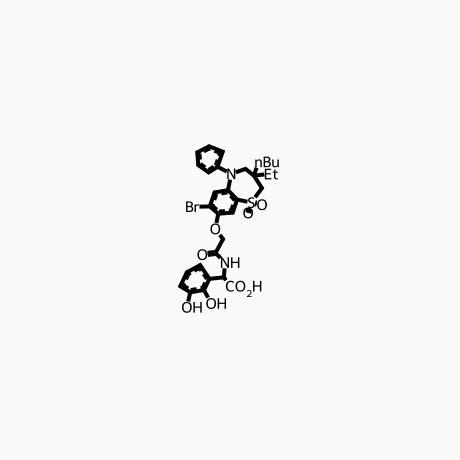 CCCCC1(CC)CN(c2ccccc2)c2cc(Br)c(OCC(=O)NC(C(=O)O)c3cccc(O)c3O)cc2S(=O)(=O)C1